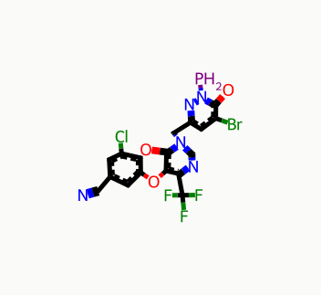 N#Cc1cc(Cl)cc(Oc2c(C(F)(F)F)ncn(Cc3cc(Br)c(=O)n(P)n3)c2=O)c1